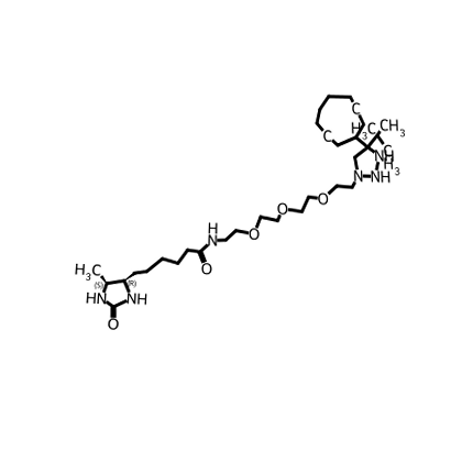 C[C@@H]1NC(=O)N[C@@H]1CCCCCC(=O)NCCOCCOCCOCCN1CC(C2CCCCCCCC2)(C(C)(C)C)NN1